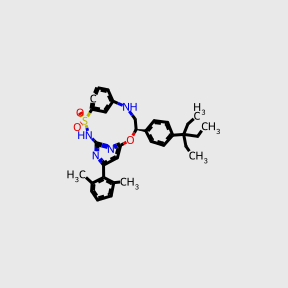 CCC(CC)(CC)c1ccc([C@@H]2CNc3cccc(c3)S(=O)(=O)Nc3nc(cc(-c4c(C)cccc4C)n3)O2)cc1